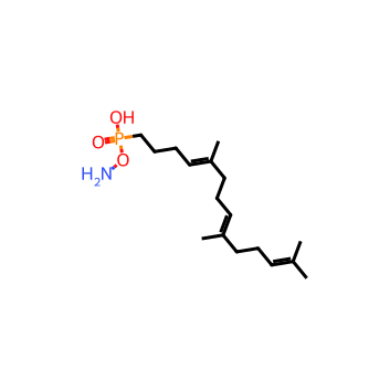 CC(C)=CCCC(C)=CCCC(C)=CCCCP(=O)(O)ON